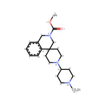 CCCOC(=O)N1Cc2ccccc2C2(CCN(C3CCN(C(=O)OCC)CC3)CC2)C1